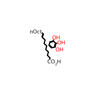 CCCCCCCCC=CCCCCCCCC(=O)O.Oc1cccc(O)c1O